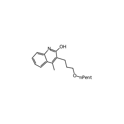 CCCCCOCCCc1c(O)nc2ccccc2c1C